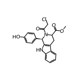 COC(=O)C1Cc2c([nH]c3ccccc23)[C@@H](c2ccc(O)cc2)N1C(=O)CCl